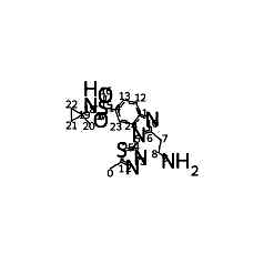 Cc1nnc(-n2c(CCN)nc3ccc(S(=O)(=O)NC4(C)CC4)cc32)s1